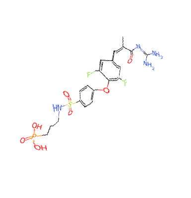 CC(=Cc1cc(F)c(Oc2ccc(S(=O)(=O)NCCCP(=O)(O)O)cc2)c(F)c1)C(=O)N=C(N)N